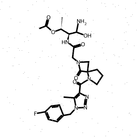 CC(=O)O[C@H](C)[C@H](NC(=O)CN1CC2(CCCN2C(=O)c2nnn(Cc3ccc(F)cc3)c2C)C1=O)C(N)O